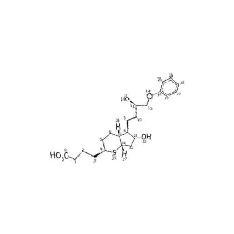 O=C(O)CCC[C@H]1CC[C@@H]2[C@@H](CC[C@@H](O)COc3ccccc3)[C@H](O)C[C@@H]2S1